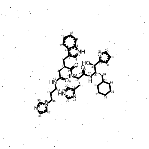 O=C(C[C@@H](Cc1c[nH]c2ccccc12)C(=O)N[C@@H](Cc1c[nH]cn1)C(=O)N[C@@H](CC1CCCCC1)[C@@H](O)c1ccco1)NCCCn1ccnc1